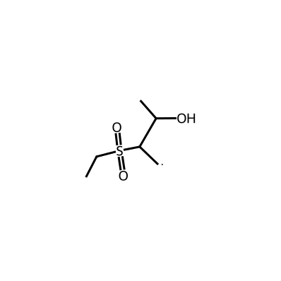 [CH2]C(C(C)O)S(=O)(=O)CC